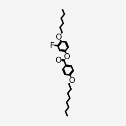 CCCCCCCCOc1ccc(C(=O)Oc2ccc(OCCCCCC)c(F)c2)cc1